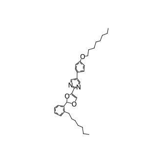 CCCCCCCCOc1ccc(-c2cnc(C3=COC(c4ccccc4CCCCCCC)O3)nc2)cc1